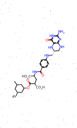 CC1CC(OC(=O)C(CC(NC(=O)c2ccc(NC[C@H]3CNc4nc(N)[nH]c(=O)c4N3)cc2)C(=O)O)C(=O)O)CC(C(C)C)C1